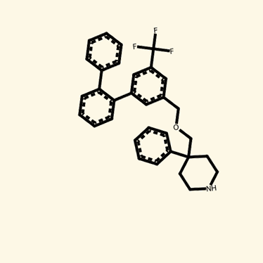 FC(F)(F)c1cc(COCC2(c3ccccc3)CCNCC2)cc(-c2ccccc2-c2ccccc2)c1